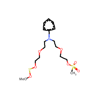 COOSOCCOCCN(CCOCCOS(C)(=O)=O)c1ccccc1